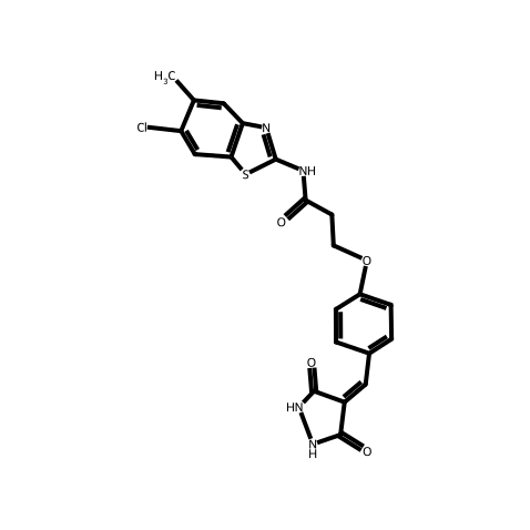 Cc1cc2nc(NC(=O)CCOc3ccc(C=C4C(=O)NNC4=O)cc3)sc2cc1Cl